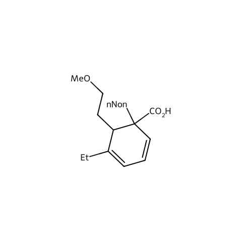 CCCCCCCCCC1(C(=O)O)C=CC=C(CC)C1CCOC